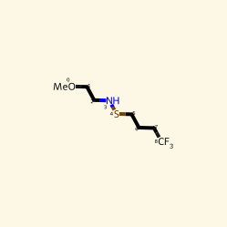 COCCNSCCCC(F)(F)F